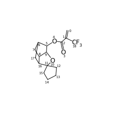 C=C(C(=O)OC1C2CC3C1OC1(CCCC1)C3C2)C(F)(F)F